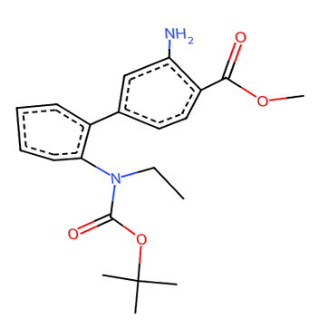 CCN(C(=O)OC(C)(C)C)c1ccccc1-c1ccc(C(=O)OC)c(N)c1